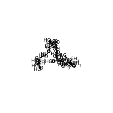 CCCCOCN(C(=O)[C@@H](NC(=O)[C@H]1CCCCN1C)C(C)CC)[C@@H](C[C@H](OC(C)=O)c1nc(C(=O)N[C@@H](Cc2ccc(O)cc2)C[C@H](C)C(=O)NNC(=O)OCCSSC[C@@H](NC(=O)[C@H](CC(=O)O)NC(=O)[C@H](CC(=O)O)NC(=O)Cc2ccc(CNC(=O)NCCCC[C@@H](NC(=O)N[C@@H](CCC(=O)O)C(=O)O)C(=O)O)cc2)C(=O)O)cs1)C(C)C